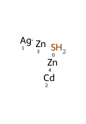 S.[Ag].[Cd].[Zn].[Zn]